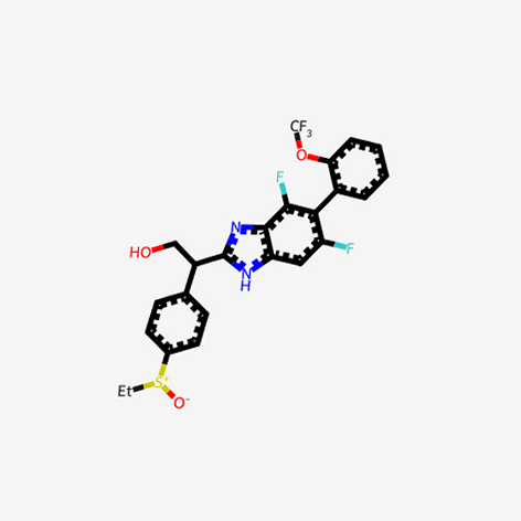 CC[S+]([O-])c1ccc(C(CO)c2nc3c(F)c(-c4ccccc4OC(F)(F)F)c(F)cc3[nH]2)cc1